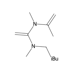 C=C(C)N(C)C(=C)N(C)CC(C)CC